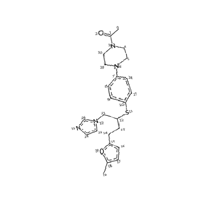 CC(=O)N1CCN(c2ccc(SC(CCc3ccc(C)o3)Cn3ccnc3)cc2)CC1